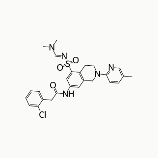 Cc1ccc(N2CCc3c(cc(NC(=O)Cc4ccccc4Cl)cc3S(=O)(=O)/N=C/N(C)C)C2)nc1